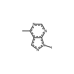 Cc1ncnc2c1cnn2I